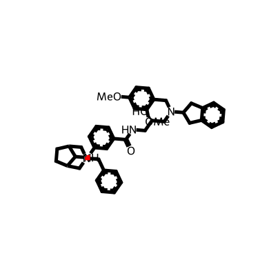 COc1ccc(CN(C[C@H](O)CNC(=O)c2cccc(NC3C4CCC3CN(Cc3ccccc3)C4)c2)C2Cc3ccccc3C2)c(OC)c1